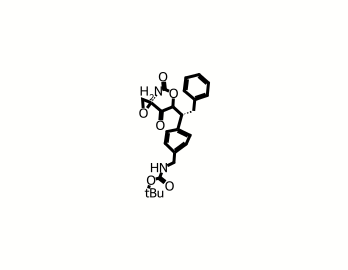 CC(C)(C)OC(=O)NCc1ccc([C@@H](Cc2ccccc2)C(OC(N)=O)C(=O)[C@]2(C)CO2)cc1